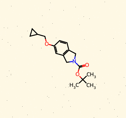 CC(C)(C)OC(=O)N1Cc2ccc(OCC3CC3)cc2C1